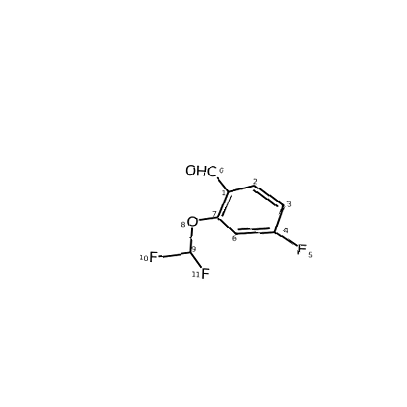 O=Cc1ccc(F)cc1OC(F)F